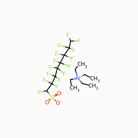 CC[N+](CC)(CC)CC.O=S(=O)([O-])C(F)C(F)(F)C(F)(F)C(F)(F)C(F)(F)C(F)(F)C(F)(F)C(F)F